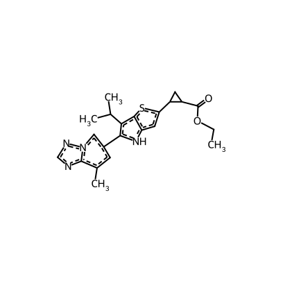 CCOC(=O)C1CC1c1cc2[nH]c(-c3cc(C)c4ncnn4c3)c(C(C)C)c2s1